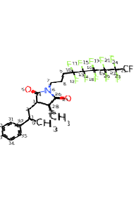 CC(CC1C(=O)N(CCCC(F)(F)C(F)(F)C(F)(F)C(F)(F)C(F)(F)C(F)(F)F)C(=O)C1C)c1ccccc1